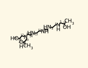 CC(O)CNCCNCCNCCNCCN(CCO)CC(C)O